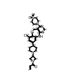 C=CC(=O)N1CC(N2CCC(c3cc(Cl)c4c(c3)Nc3ncnc(N5CCS(=O)(=O)CC5)c3CO4)CC2)C1